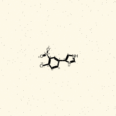 O=[N+]([O-])c1cc(-c2c[nH]cn2)ccc1Cl